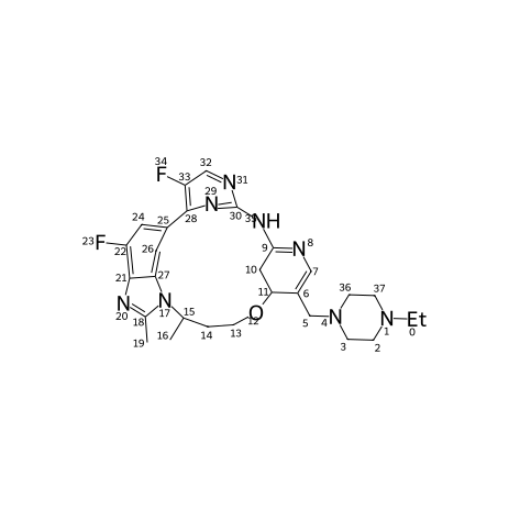 CCN1CCN(CC2=CN=C3CC2OCCC(C)n2c(C)nc4c(F)cc(cc42)-c2nc(ncc2F)N3)CC1